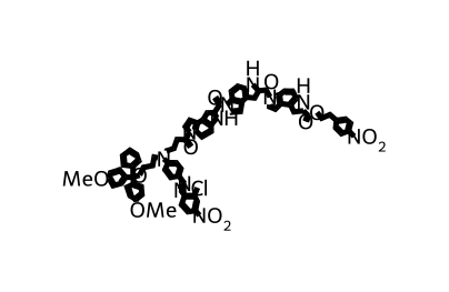 COc1ccc(C(OCCCN(CCCC(=O)n2ccc3c4c(ccc32)NC(C(=O)n2ccc3c5c(ccc32)NC(C(=O)n2ccc3c6c(ccc32)NC(C(=O)OCCc2ccc([N+](=O)[O-])cc2)C6)C5)C4)c2ccc(N=Nc3ccc([N+](=O)[O-])cc3Cl)cc2)(c2ccccc2)c2ccc(OC)cc2)cc1